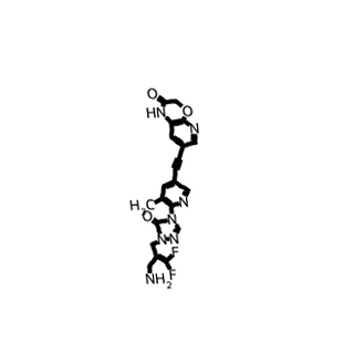 Cc1cc(C#Cc2cnc3c(c2)NC(=O)CO3)cnc1-n1cnn(CC(CN)=C(F)F)c1=O